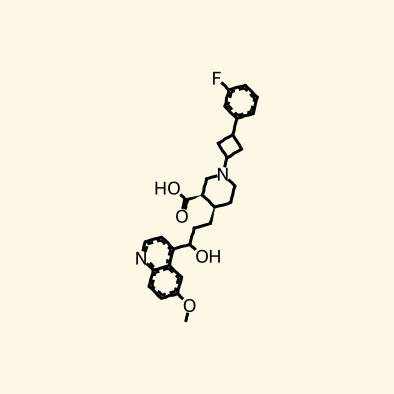 COc1ccc2nccc(C(O)CC[C@@H]3CCN(C4CC(c5cccc(F)c5)C4)C[C@@H]3C(=O)O)c2c1